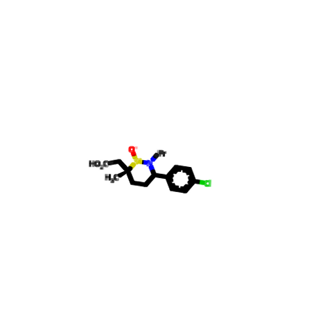 CC(C)N1C(c2ccc(Cl)cc2)CC[C@](C)(CC(=O)O)[S+]1[O-]